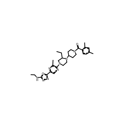 CCNc1nnc(-c2cnc(N3CCN(C4CCN(C(=O)c5ccc(C)cc5C)CC4)C(CC)C3)c(C)n2)o1